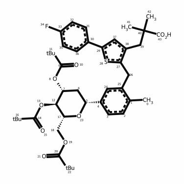 Cc1ccc([C@H]2C[C@@H](OC(=O)C(C)(C)C)[C@H](OC(=O)C(C)(C)C)[C@@H](COC(=O)C(C)(C)C)O2)cc1Cc1sc(-c2ccc(F)cc2)cc1CC(C)(C)C(=O)O